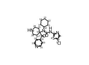 O=C(Nc1ncc(Cl)s1)N(C1CCCCC1)C1(C(=O)c2ccncc2)CCNCC1